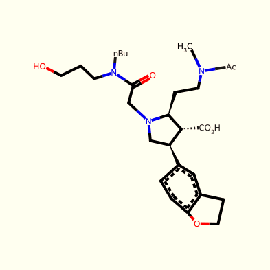 CCCCN(CCCO)C(=O)CN1C[C@H](c2ccc3c(c2)CCO3)[C@@H](C(=O)O)[C@@H]1CCN(C)C(C)=O